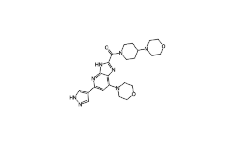 O=C(c1nc2c(N3CCOCC3)cc(-c3cn[nH]c3)nc2[nH]1)N1CCC(N2CCOCC2)CC1